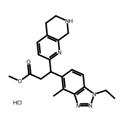 CCn1nnc2c(C)c(C(CC(=O)OC)c3ccc4c(n3)CNCC4)ccc21.Cl